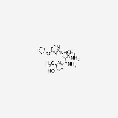 Cc1nc(/C(N)=C(\CNc2nccc(OC3CCCC3)n2)N(C)N)ccc1O